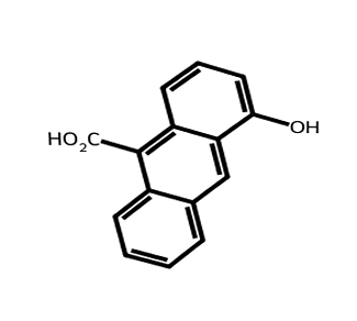 O=C(O)c1c2ccccc2cc2c(O)cccc12